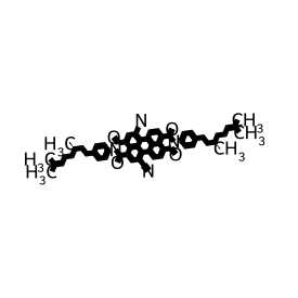 CC(C)=CCC[C@H](C)CCc1ccc(N2C(=O)c3ccc4c5c(C#N)cc6c7c(cc(C#N)c(c8ccc(c3c48)C2=O)c75)C(=O)N(c2ccc(CC[C@@H](C)CCC=C(C)C)cc2)C6=O)cc1